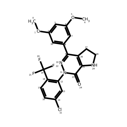 COc1cc(OC)cc(-c2nn(-c3cc(Cl)ccc3C(F)(F)F)c(=O)c3c2CCN3)c1